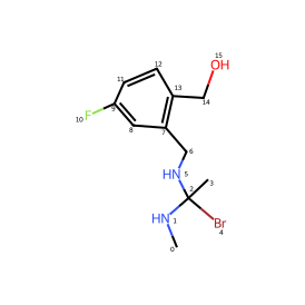 CNC(C)(Br)NCc1cc(F)ccc1CO